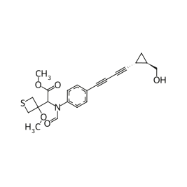 COC(=O)C(N(C=O)c1ccc(C#CC#C[C@@H]2C[C@H]2CO)cc1)C1(OC)CSC1